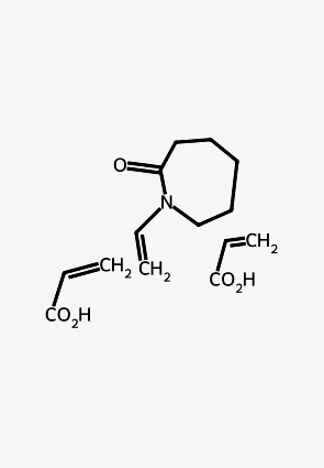 C=CC(=O)O.C=CC(=O)O.C=CN1CCCCCC1=O